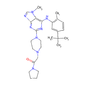 Cc1ccc(C(C)(C)C)cc1Nc1nc(N2CCN(CC(=O)N3CCCC3)CC2)nc2ncn(C)c12